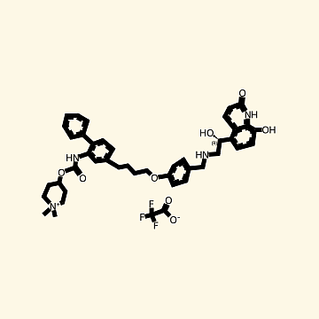 C[N+]1(C)CCC(OC(=O)Nc2cc(CCCCOc3ccc(CNC[C@H](O)c4ccc(O)c5[nH]c(=O)ccc45)cc3)ccc2-c2ccccc2)CC1.O=C([O-])C(F)(F)F